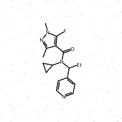 CCC(c1ccncc1)N(C(=O)c1c(C)nn(C)c1F)C1CC1